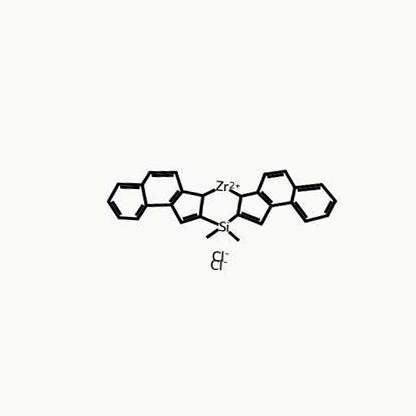 C[Si]1(C)C2=Cc3c(ccc4ccccc34)[CH]2[Zr+2][CH]2C1=Cc1c2ccc2ccccc12.[Cl-].[Cl-]